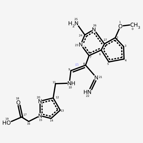 COc1cccc2c(/C(=C/NCc3ccn(CC(=O)O)n3)N=N)nc(N)nc12